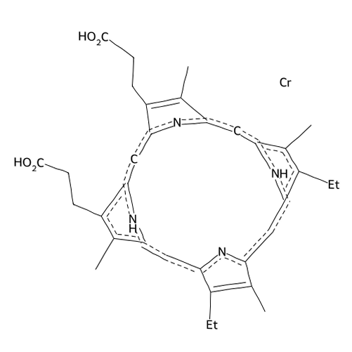 CCC1=C(C)c2cc3[nH]c(cc4nc(cc5[nH]c(cc1n2)c(C)c5CCC(=O)O)C(CCC(=O)O)=C4C)c(C)c3CC.[Cr]